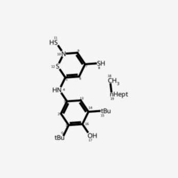 CC(C)(C)c1cc(NC2=CC(S)=CN(S)S2)cc(C(C)(C)C)c1O.CCCCCCCC